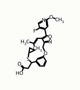 COc1cc(-c2onc(COc3cccc(C(CC(=O)O)SC4CC4)c3)c2C=C(C)C)c(F)cn1